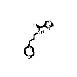 O=C(NCCCN1CCOCC1)c1cscn1